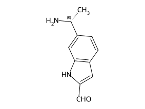 C[C@@H](N)c1ccc2cc(C=O)[nH]c2c1